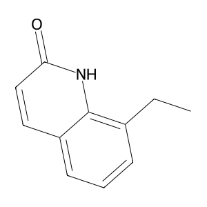 CCc1cccc2ccc(=O)[nH]c12